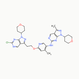 Cc1cc(OCCc2nn(C3CCOCC3)c3nc(Cl)ncc23)ncc1Nc1ncc2c(C)nn(C3CCOCC3)c2n1